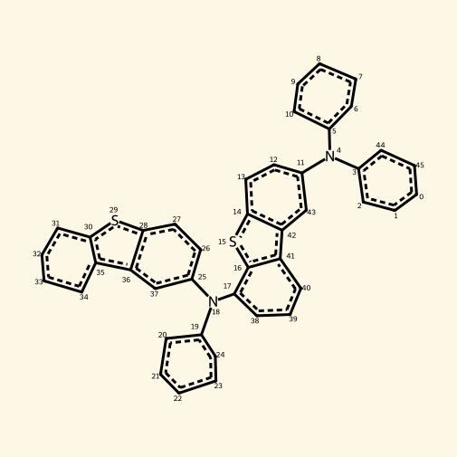 c1ccc(N(c2ccccc2)c2ccc3sc4c(N(c5ccccc5)c5ccc6sc7ccccc7c6c5)cccc4c3c2)cc1